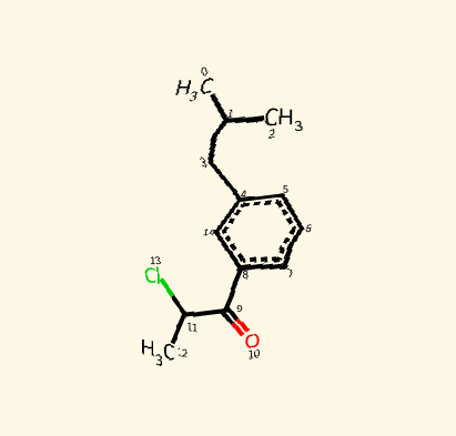 CC(C)Cc1cccc(C(=O)C(C)Cl)c1